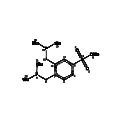 COS(=O)(=O)c1ccc(CP(C(C)(C)C)C(C)(C)C)c(CP(C(C)(C)C)C(C)(C)C)c1